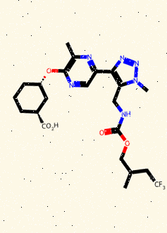 Cc1nc(-c2nnn(C)c2CNC(=O)OCC(C)CC(F)(F)F)cnc1O[C@H]1CCC[C@H](C(=O)O)C1